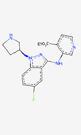 CCOC(=O)c1ccncc1Nc1nn([C@H]2CCNC2)c2ccc(F)cc12